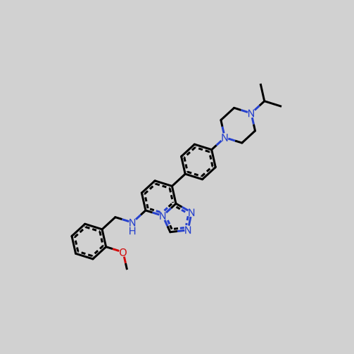 COc1ccccc1CNc1ccc(-c2ccc(N3CCN(C(C)C)CC3)cc2)c2nncn12